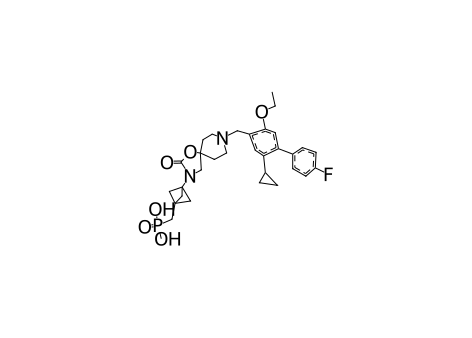 CCOc1cc(-c2ccc(F)cc2)c(C2CC2)cc1CN1CCC2(CC1)CN(C13CC(CP(=O)(O)O)(C1)C3)C(=O)O2